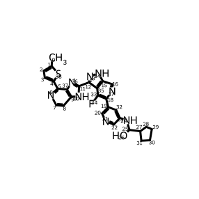 Cc1ccc(-c2nccc3[nH]c(-c4n[nH]c5cnc(-c6cncc(NC(O)C7CCCC7)c6)c(F)c45)nc23)s1